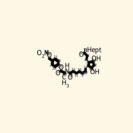 CCCCCCCC(=O)CC[C@@H]1[C@@H](C/C=C\CCCC(=O)NC(C)C(=O)Oc2ccc(CO[N+](=O)[O-])cc2)[C@@H](O)C[C@H]1O